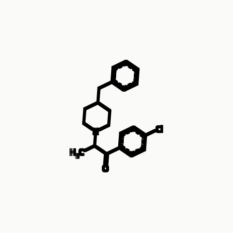 CC(C(=O)c1ccc(Cl)cc1)N1CCC(Cc2ccccc2)CC1